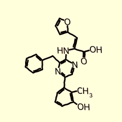 Cc1c(O)cccc1-c1cnc(N/C(=C\c2ccco2)C(=O)O)c(Cc2ccccc2)n1